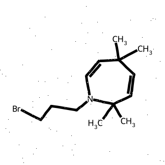 CC1(C)C=CN(CCCBr)C(C)(C)C=C1